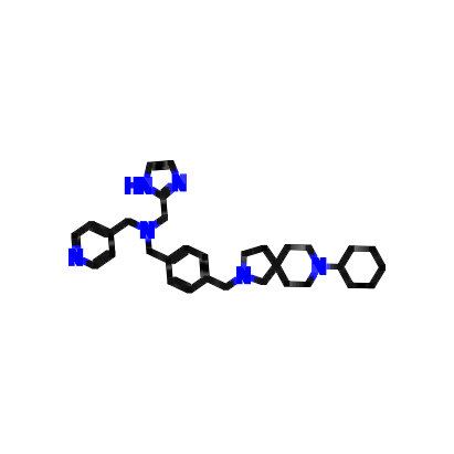 c1cc(CN(Cc2ccc(CN3CCC4(CCN(C5CCCCC5)CC4)C3)cc2)Cc2ncc[nH]2)ccn1